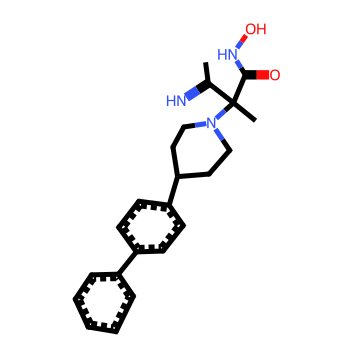 CC(=N)C(C)(C(=O)NO)N1CCC(c2ccc(-c3ccccc3)cc2)CC1